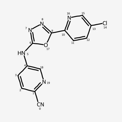 N#Cc1ccc(Nc2nnc(-c3ccc(Cl)cn3)o2)cn1